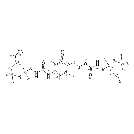 Cc1[nH]c(NC(=O)NCC2(C)CC(OC#N)CC(C)(C)C2)nc(=O)c1CCOC(=O)NCC1(C)CC(C)CC(C)(C)C1